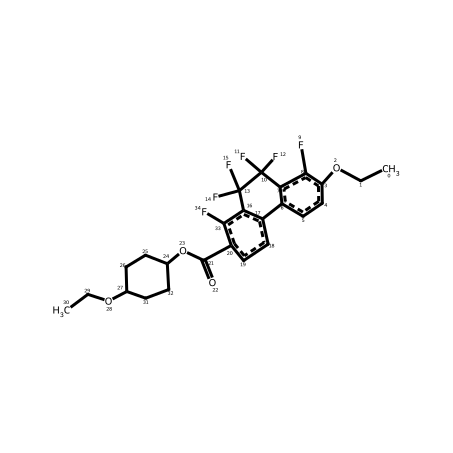 CCOc1ccc2c(c1F)C(F)(F)C(F)(F)c1c-2ccc(C(=O)OC2CCC(OCC)CC2)c1F